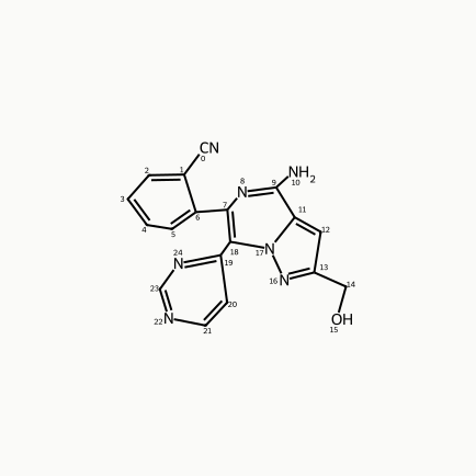 N#Cc1ccccc1-c1nc(N)c2cc(CO)nn2c1-c1ccncn1